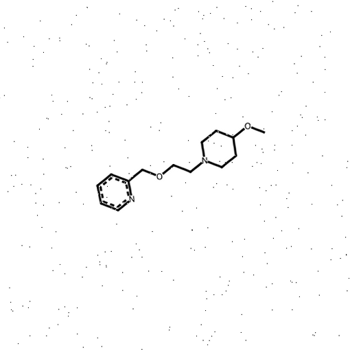 COC1CCN(CCOCc2ccccn2)CC1